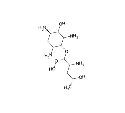 C[C@@H](O)CC(N)[C@H](OO)O[C@@H]1C(N)C[C@@H](N)C(O)C1N